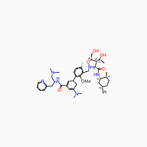 COc1c(C2C=C(C(=O)NC(Cc3ccccn3)CN(C)C)C=C(N(C)C)C2)ccc(F)c1CN1O[C@@H](CO)[C@@H]([C@H](C)O)[C@H]1C(=O)N[C@H]1C[C@H](C(C)C)CC[C@@H]1C